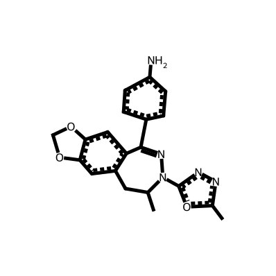 Cc1nnc(N2N=C(c3ccc(N)cc3)c3cc4c(cc3CC2C)OCO4)o1